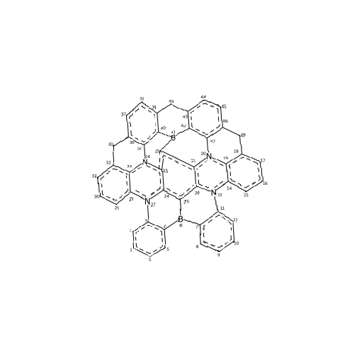 c1ccc2c(c1)B1c3ccccc3-n3c4cccc5c4n4c6c7c8c(c1c63)n-2c1cccc2c1n8-c1c(ccc3c1B7c1c(ccc(c1-4)C5)C3)C2